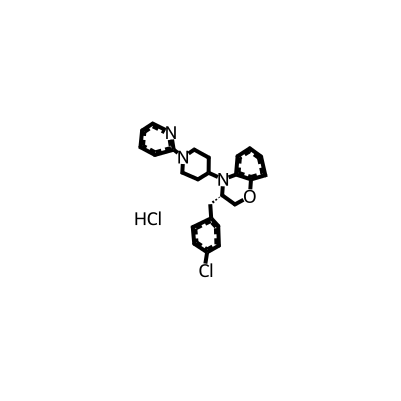 Cl.Clc1ccc(C[C@H]2COc3ccccc3N2C2CCN(c3ccccn3)CC2)cc1